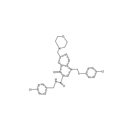 O=C(NCc1ccc(Cl)cc1)c1cn(CSc2ccc(Cl)cc2)c2ccc(CN3CCOCC3)cc2c1=O